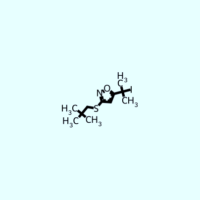 CC(C)(C)CSc1cc(C(C)(C)I)on1